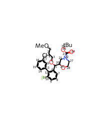 COCCCOC(c1cccc(F)c1-c1cccc(C)c1)C1CN(C(=O)OC(C)(C)C)CCO1